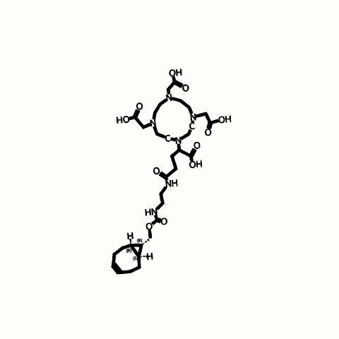 O=C(O)CN1CCN(CC(=O)O)CCN(C(CCC(=O)NCCNC(=O)OC[C@H]2[C@@H]3CCC#CCC[C@@H]32)C(=O)O)CCN(CC(=O)O)CC1